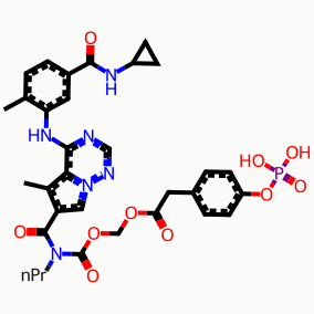 CCCN(C(=O)OCOC(=O)Cc1ccc(OP(=O)(O)O)cc1)C(=O)c1cn2ncnc(Nc3cc(C(=O)NC4CC4)ccc3C)c2c1C